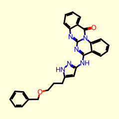 O=c1c2ccccc2nc2nc(Nc3cc(CCCOCc4ccccc4)[nH]n3)c3ccccc3n12